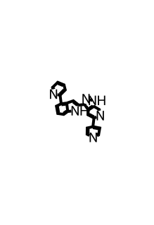 c1ccc(-c2cccc3[nH]c(-c4n[nH]c5cnc(-c6ccncc6)cc45)cc23)nc1